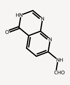 O=CNc1ccc2c(=O)[nH]cnc2n1